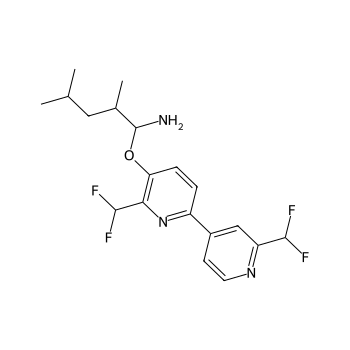 CC(C)CC(C)C(N)Oc1ccc(-c2ccnc(C(F)F)c2)nc1C(F)F